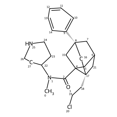 CN(C(=O)C12CC3C[C@](c4ccccc4)(C1)C[C@@]2(CCCl)C3)C1CCNCC1